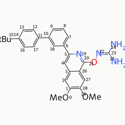 COc1cc2cc(-c3cccc(-c4ccc(C(C)(C)C)cc4)c3)nc(ON=C(N)N)c2cc1OC